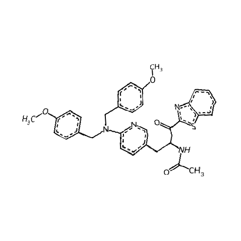 COc1ccc(CN(Cc2ccc(OC)cc2)c2ccc(CC(NC(C)=O)C(=O)c3nc4ccccc4s3)cn2)cc1